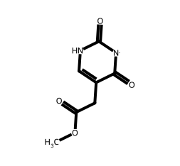 COC(=O)CC1=CNC(=O)[N]C1=O